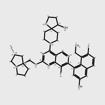 CCc1c(F)ccc2cc(O)cc(-c3ncc4c(N5CCC6(CC5)OCCC6O)nc(OC[C@@]56CCCN5C[C@H](F)C6)nc4c3F)c12